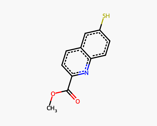 COC(=O)c1ccc2cc(S)ccc2n1